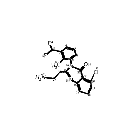 Cc1c(C(F)F)cccc1-n1c(CCN)nc2cccc(Cl)c2c1=O